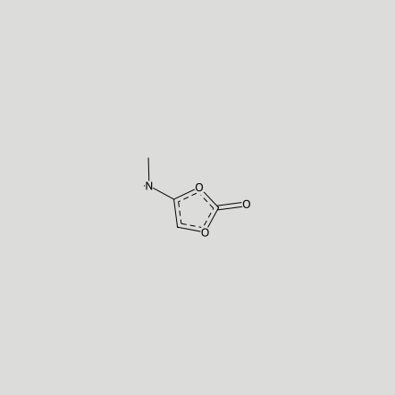 C[N]c1coc(=O)o1